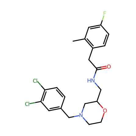 Cc1cc(F)ccc1CC(=O)NCC1CN(Cc2ccc(Cl)c(Cl)c2)CCO1